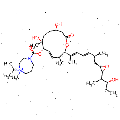 CC[C@H](O)[C@@H](C)[C@H]1O[C@@H]1C[C@H](C)/C=C/C=C(\C)[C@H]1OC(=O)C[C@H](O)CC[C@@](C)(O)[C@@H](OC(=O)N2CCC[N+](C)(C(C)C)CC2)/C=C/[C@@H]1C